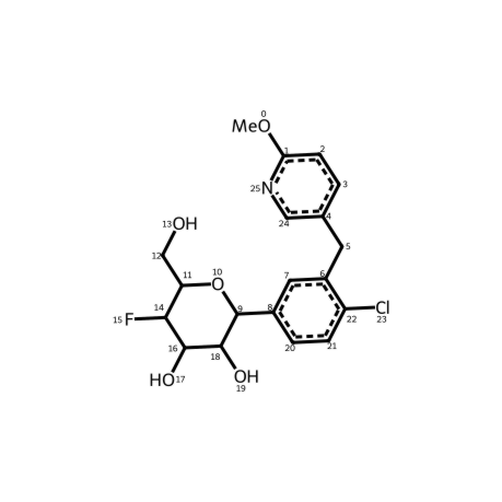 COc1ccc(Cc2cc(C3OC(CO)C(F)C(O)C3O)ccc2Cl)cn1